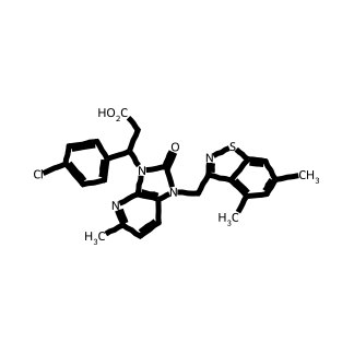 Cc1cc(C)c2c(Cn3c(=O)n(C(CC(=O)O)c4ccc(Cl)cc4)c4nc(C)ccc43)nsc2c1